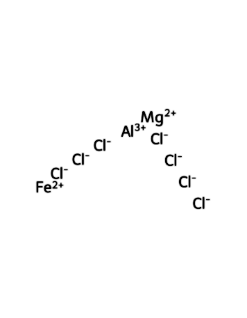 [Al+3].[Cl-].[Cl-].[Cl-].[Cl-].[Cl-].[Cl-].[Cl-].[Fe+2].[Mg+2]